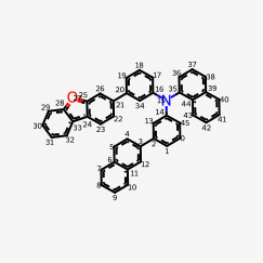 c1cc(-c2ccc3ccccc3c2)cc(N(c2cccc(-c3ccc4c(c3)oc3ccccc34)c2)c2cccc3ccccc23)c1